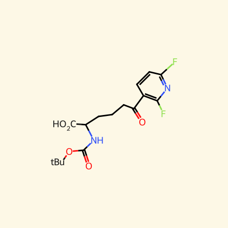 CC(C)(C)OC(=O)NC(CCCC(=O)c1ccc(F)nc1F)C(=O)O